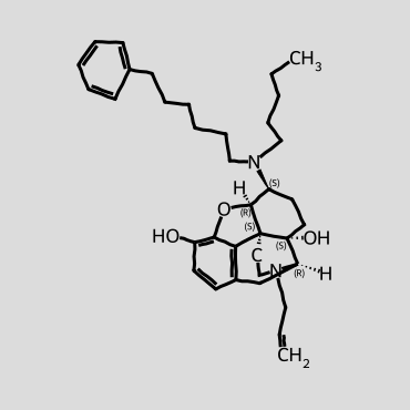 C=CCN1CC[C@]23c4c5ccc(O)c4O[C@H]2[C@@H](N(CCCCC)CCCCCCc2ccccc2)CC[C@@]3(O)[C@H]1C5